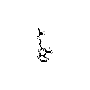 CC(=O)OCCc1nc2nccnc2c(=O)[nH]1